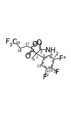 CC(C(N)=O)(c1cc(F)c(F)c(F)c1)S(=O)(=O)CCC(F)(F)F